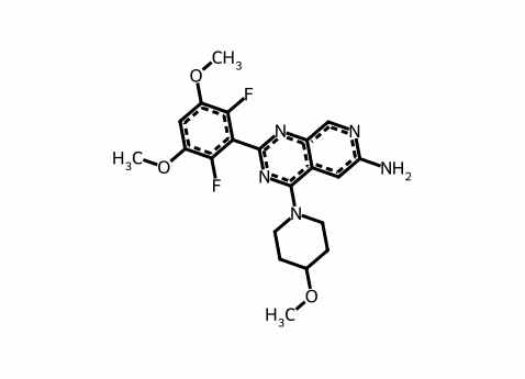 COc1cc(OC)c(F)c(-c2nc(N3CCC(OC)CC3)c3cc(N)ncc3n2)c1F